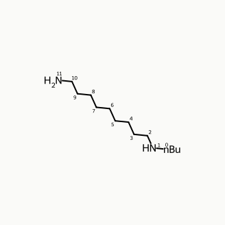 CCCCNCCCCCCCCCN